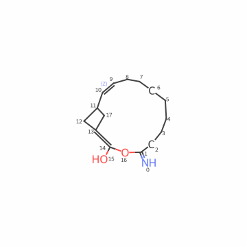 N=C1CCCCCCC/C=C\C2CC(=C(O)O1)C2